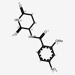 COc1cc([N+](=O)[O-])ccc1C(=O)NC1CCC(=O)NC1=O